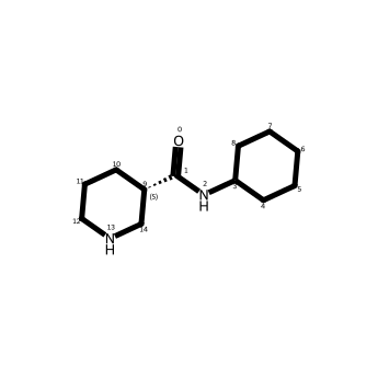 O=C(NC1CCCCC1)[C@H]1CCCNC1